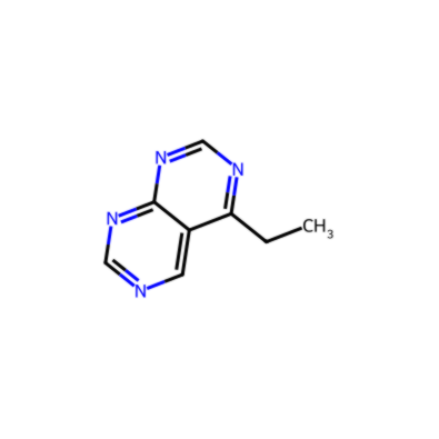 CCc1ncnc2ncncc12